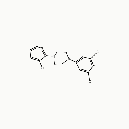 Clc1[c]c(Cl)cc(N2CCN(c3ncccc3Cl)CC2)c1